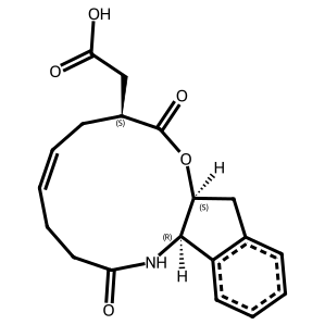 O=C(O)C[C@@H]1CC=CCCC(=O)N[C@@H]2c3ccccc3C[C@@H]2OC1=O